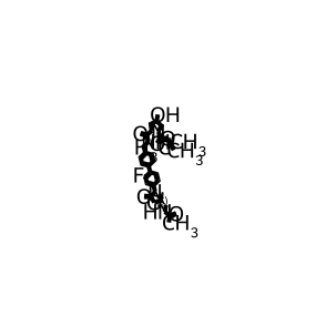 CC(=O)NC[C@H]1CN(c2ccc(-c3ccc(CNC(=O)C4CC(O)CN4C(=O)OC(C)(C)C)cc3)c(F)c2)C(=O)O1